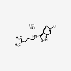 CN(C)CCCNc1snc2cc(Cl)ccc12.Cl.Cl